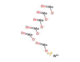 P.[O]=[Mo][O-].[O]=[Mo][O-].[O]=[Mo][O-].[O]=[Mo][O-].[O]=[Mo][O-].[O]=[Mo][O-].[W+6]